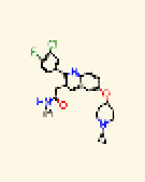 CC(C)NC(=O)Cc1cc2cc(OC3CCN(C4CC4)CC3)ccc2nc1-c1ccc(F)c(Cl)c1